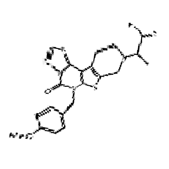 COc1ccc(Cn2c(=O)n3ncnc3c3c4c(sc32)CN(C(C)C(F)F)CC4)cc1